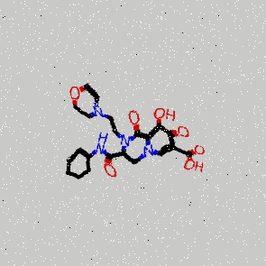 O=C(O)c1cn2c(c(O)c1=O)C(=O)N(CCN1CCOCC1)C(C(=O)NC1CCCCC1)C2